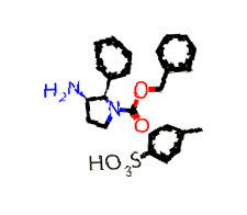 Cc1ccc(S(=O)(=O)O)cc1.N[C@@H]1CCN(C(=O)OCc2ccccc2)[C@@H]1c1ccccc1